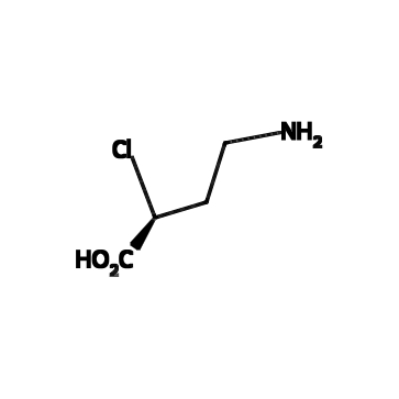 NCC[C@H](Cl)C(=O)O